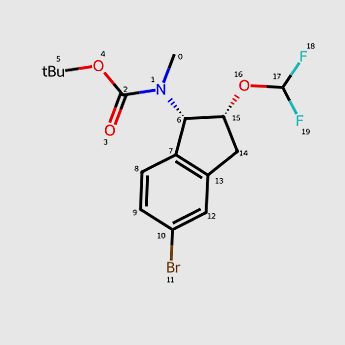 CN(C(=O)OC(C)(C)C)[C@H]1c2ccc(Br)cc2C[C@H]1OC(F)F